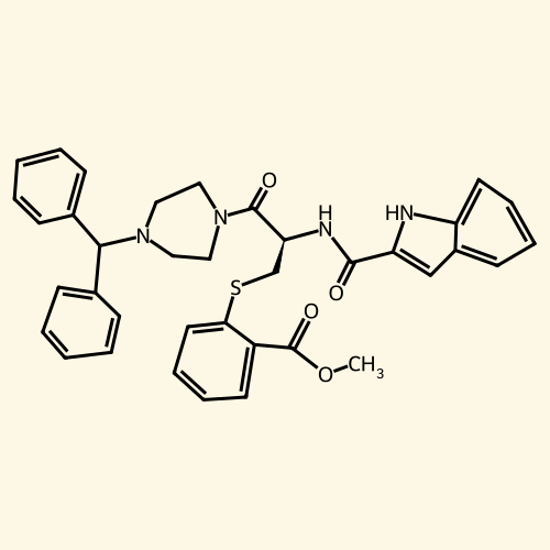 COC(=O)c1ccccc1SC[C@H](NC(=O)c1cc2ccccc2[nH]1)C(=O)N1CCN(C(c2ccccc2)c2ccccc2)CC1